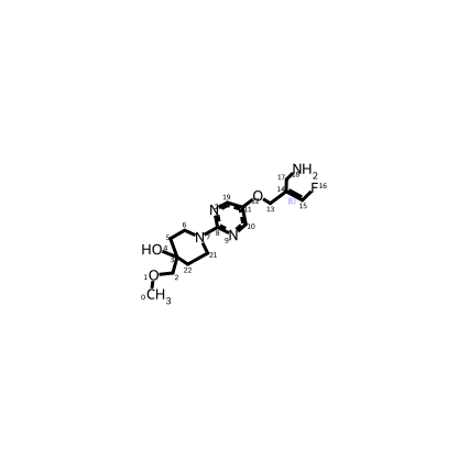 COCC1(O)CCN(c2ncc(OC/C(=C/F)CN)cn2)CC1